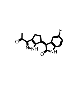 CC(=O)c1n[nH]c2c1CCC2=C1C(=O)Nc2ccc(F)cc21